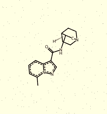 Cc1cccc2c(C(=O)N[C@@H]3CN4CCC3CC4)cnn12